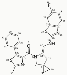 Cc1nc(C(=O)N2CC3(CC3)C/C2=C\Nc2nc3ccc(F)cc3s2)c(-c2ccccc2)s1